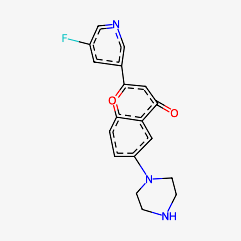 O=c1cc(-c2cncc(F)c2)oc2ccc(N3CCNCC3)cc12